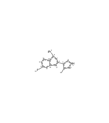 Cc1n[nH]cc1-c1cc(C(C)C)c2ccc(F)cc2n1